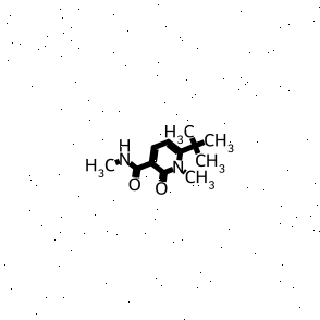 CNC(=O)c1ccc(C(C)(C)C)n(C)c1=O